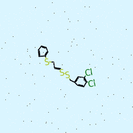 Clc1ccc(CSS/C=C/CSc2ccccc2)cc1Cl